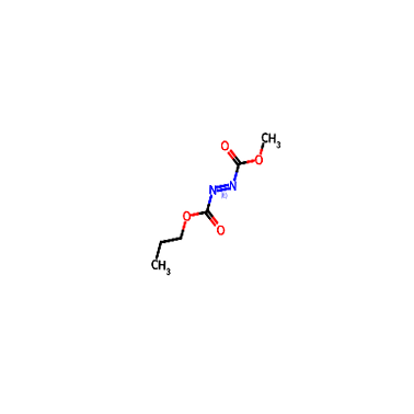 CCCOC(=O)/N=N/C(=O)OC